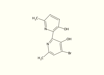 Cc1ccc(O)c(-c2nc(C)cc(Br)c2O)n1